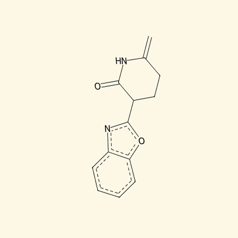 C=C1CCC(c2nc3ccccc3o2)C(=O)N1